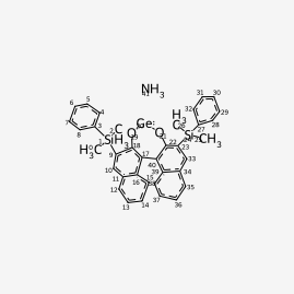 C[Si](C)(c1ccccc1)c1cc2ccccc2c2c1[O][Ge][O]c1c([Si](C)(C)c3ccccc3)cc3ccccc3c1-2.N